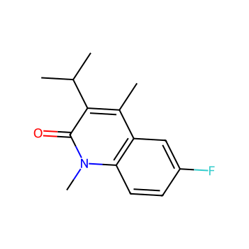 Cc1c(C(C)C)c(=O)n(C)c2ccc(F)cc12